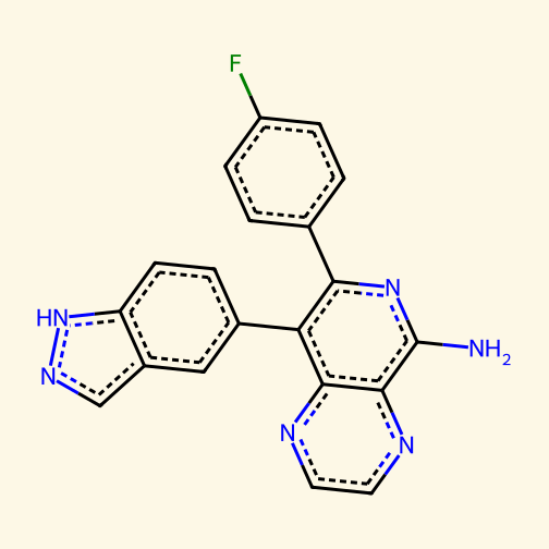 Nc1nc(-c2ccc(F)cc2)c(-c2ccc3[nH]ncc3c2)c2nccnc12